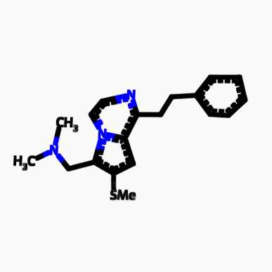 CSc1cc2c(CCc3ccccc3)nccn2c1CN(C)C